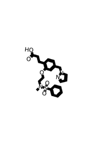 CN(CCOc1cc(Cn2cccn2)ccc1CCC(=O)O)S(=O)(=O)c1ccccc1